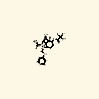 O=C1C2[C@H]3C(CCC(OC(=O)C(F)(F)F)[C@@H]13)N(CSc1ccncc1)N2C(=O)O